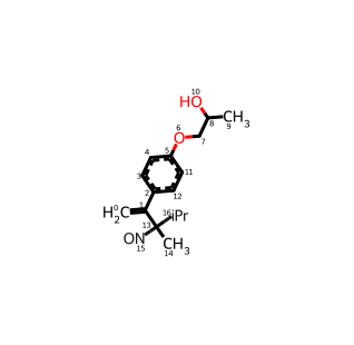 C=C(c1ccc(OCC(C)O)cc1)C(C)(N=O)C(C)C